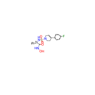 CC(C)[C@@H](NS(=O)(=O)N1CC=C(c2ccc(F)cc2)CC1)C(=O)NO